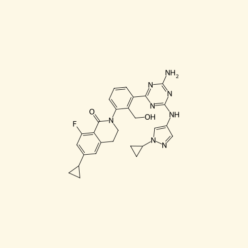 Nc1nc(Nc2cnn(C3CC3)c2)nc(-c2cccc(N3CCc4cc(C5CC5)cc(F)c4C3=O)c2CO)n1